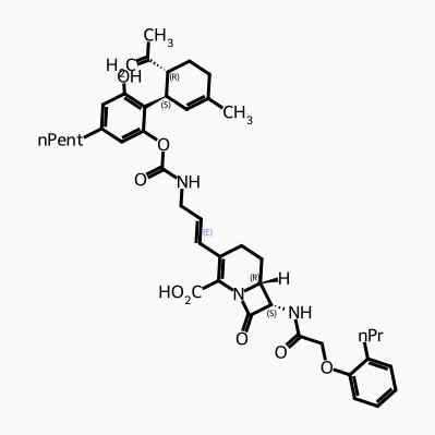 C=C(C)[C@@H]1CCC(C)=C[C@H]1c1c(O)cc(CCCCC)cc1OC(=O)NC/C=C/C1=C(C(=O)O)N2C(=O)[C@@H](NC(=O)COc3ccccc3CCC)[C@H]2CC1